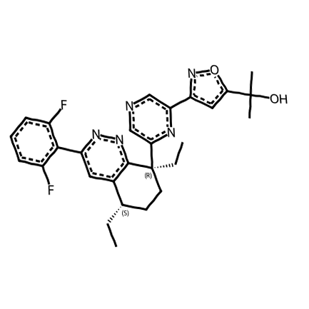 CC[C@H]1CC[C@](CC)(c2cncc(-c3cc(C(C)(C)O)on3)n2)c2nnc(-c3c(F)cccc3F)cc21